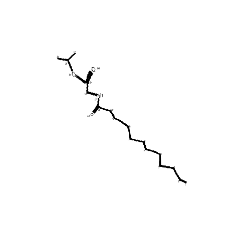 CCCCCCCCCCCC(=O)NCC(=O)OC(C)C